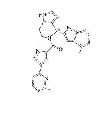 Cc1cccc(-c2nnc(C(=O)N3CCc4[nH]cnc4[C@@H]3c3cc4c(C)cccn4n3)o2)n1